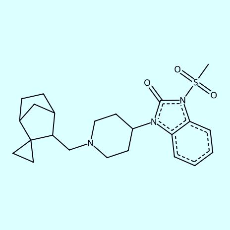 CS(=O)(=O)n1c(=O)n(C2CCN(CC3C4CCC(C4)C34CC4)CC2)c2ccccc21